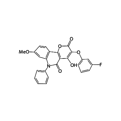 COc1ccc2c3oc(=O)c(Oc4cccc(F)c4)c(O)c3c(=O)n(-c3ccccc3)c2c1